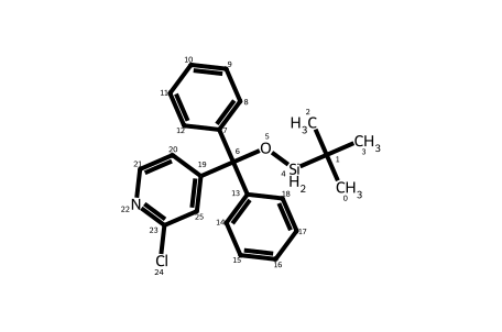 CC(C)(C)[SiH2]OC(c1ccccc1)(c1ccccc1)c1ccnc(Cl)c1